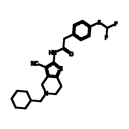 N#Cc1c(NC(=O)Cc2ccc(SC(F)F)cc2)sc2c1CN(CC1CCCCC1)CC2